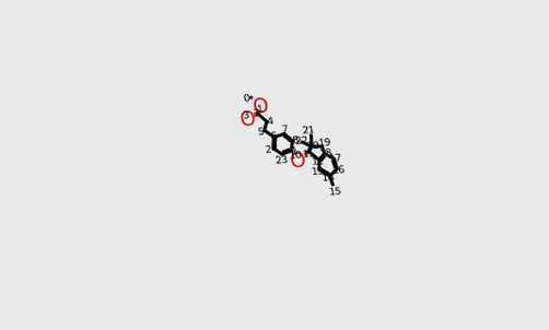 COC(=O)CCc1ccc(OC2c3cc(C)ccc3CC2(C)C)cc1